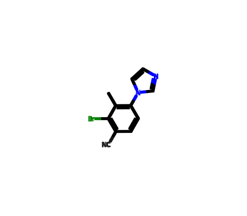 Cc1c(-n2ccnc2)ccc(C#N)c1Br